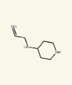 N=CCNC1CCNCC1